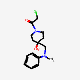 CN(CC1(O)CCN(C(=O)CCl)CC1)c1ccccc1